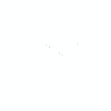 O=C(O)C(CN1CCOCC1)N1CCCCC1